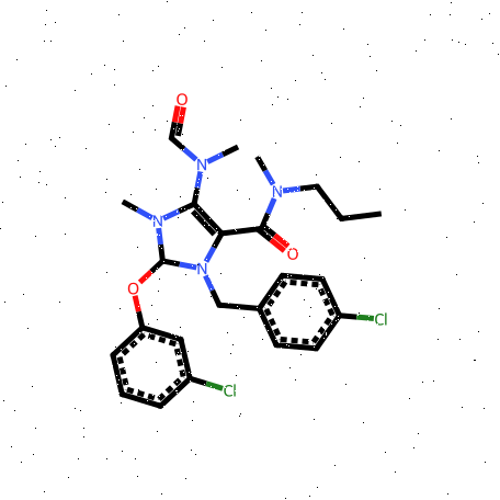 CCCN(C)C(=O)C1=C(N(C)C=O)N(C)C(Oc2cccc(Cl)c2)N1Cc1ccc(Cl)cc1